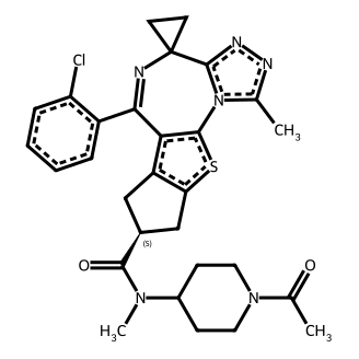 CC(=O)N1CCC(N(C)C(=O)[C@@H]2Cc3sc4c(c3C2)C(c2ccccc2Cl)=NC2(CC2)c2nnc(C)n2-4)CC1